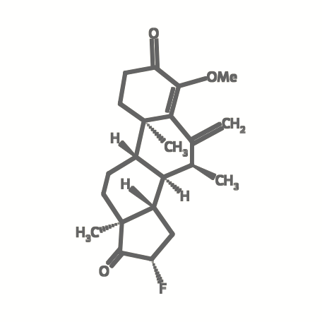 C=C1C2=C(OC)C(=O)CC[C@]2(C)[C@H]2CC[C@]3(C)C(=O)[C@@H](F)C[C@H]3[C@@H]2[C@@H]1C